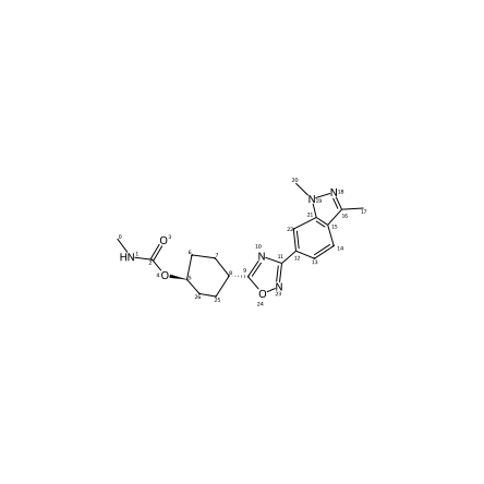 CNC(=O)O[C@H]1CC[C@H](c2nc(-c3ccc4c(C)nn(C)c4c3)no2)CC1